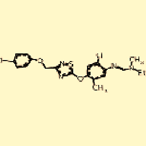 CCN(C)C=Nc1cc(C)c(Oc2nc(COc3ccc(Cl)cc3)ns2)cc1Cl